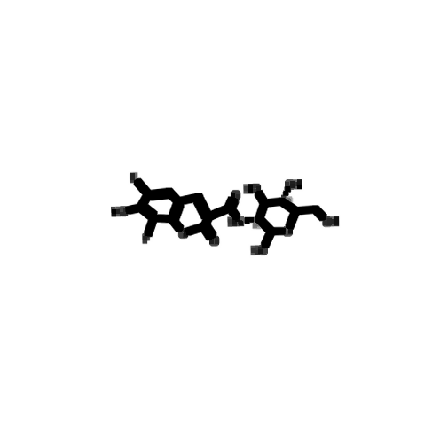 O=C(N[C@H]1C(O)OC(CO)[C@@H](O)C1O)c1cc2cc(F)c(O)c(F)c2oc1=O